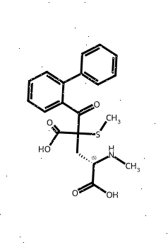 CN[C@@H](CC(SC)(C(=O)O)C(=O)c1ccccc1-c1ccccc1)C(=O)O